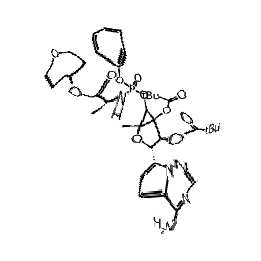 C[C@H](N[P@@](=O)(Oc1ccccc1)OC1[C@@]2(C)O[C@@H](c3ccc4c(N)ncnn34)[C@H](OC(=O)C(C)(C)C)[C@@]12OC(=O)C(C)(C)C)C(=O)OC1CCOCC1